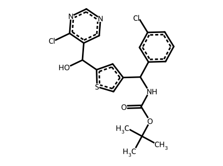 CC(C)(C)OC(=O)NC(c1cccc(Cl)c1)c1csc(C(O)c2cncnc2Cl)c1